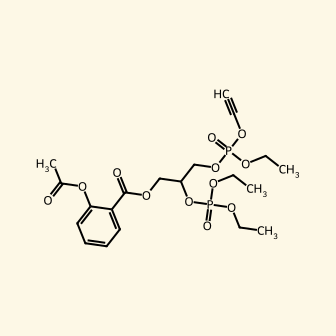 C#COP(=O)(OCC)OCC(COC(=O)c1ccccc1OC(C)=O)OP(=O)(OCC)OCC